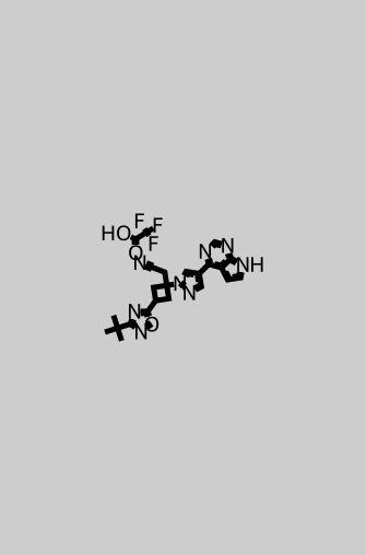 CC(C)(C)c1noc(C2CC(CC#N)(n3cc(-c4ncnc5[nH]ccc45)cn3)C2)n1.O=C(O)C(F)(F)F